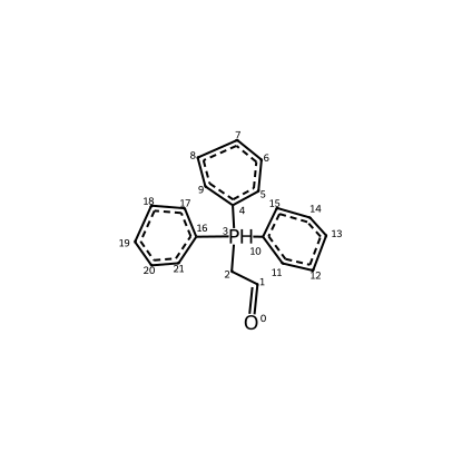 O=CC[PH](c1ccccc1)(c1ccccc1)c1ccccc1